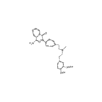 COc1ccc(CCN(C)CCc2ccc(NC(=O)c3ccccc3C(N)=O)cc2)cc1OC